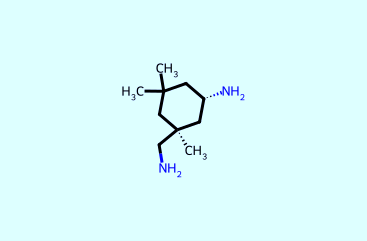 CC1(C)C[C@H](N)C[C@@](C)(CN)C1